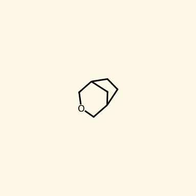 C1CC2COCC1C2